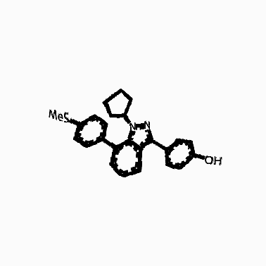 CSc1ccc(-c2cccc3c(-c4ccc(O)cc4)nn(C4CCCC4)c23)cc1